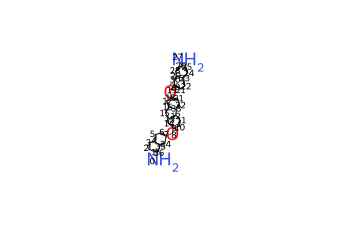 Nc1ccc2ccc(Oc3ccc4c(c3)Cc3cc(Oc5ccc6ccc(N)cc6c5)ccc3-4)cc2c1